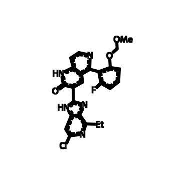 CCc1nc(Cl)cc2[nH]c(-c3cc4c(-c5c(F)cccc5OCOC)nccc4[nH]c3=O)nc12